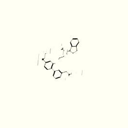 CC(=O)N(CCOc1cc(C(F)(F)F)ccc1-c1cccc(CC(=O)O)c1)C1CCc2ccccc21